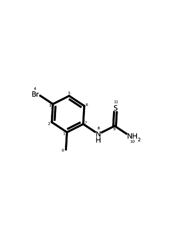 Cc1cc(Br)ccc1NC(N)=S